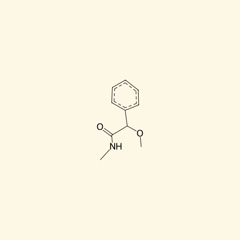 CNC(=O)C(OC)c1ccccc1